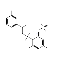 CC(CC(O)(O)C1C(O)=CC(O)=C/C1=N\P(=O)(O)O)c1cccc(O)c1